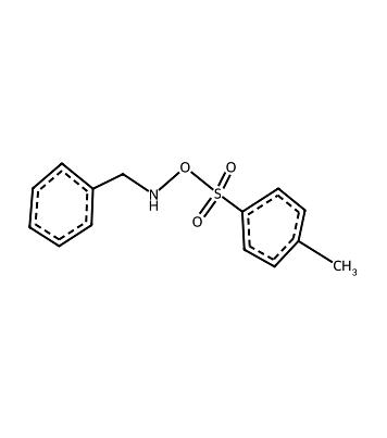 Cc1ccc(S(=O)(=O)ONCc2ccccc2)cc1